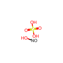 O=NO.O=S(=O)(O)O